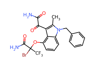 Cc1c(C(=O)C(N)=O)c2c(OC(Br)(C(N)=O)C(F)(F)F)cccc2n1Cc1ccccc1